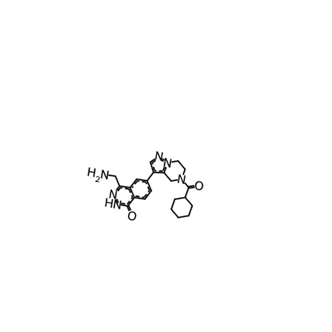 NCc1n[nH]c(=O)c2ccc(-c3cnn4c3CN(C(=O)C3CCCCC3)CC4)cc12